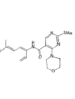 C=C/C(=C\C=C(/C)F)NC(=O)c1cnc(SC)nc1N1CCOCC1